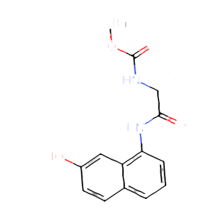 C[C@@H](NC(=O)OC(C)(C)C)C(=O)Nc1cccc2ccc(O)cc12